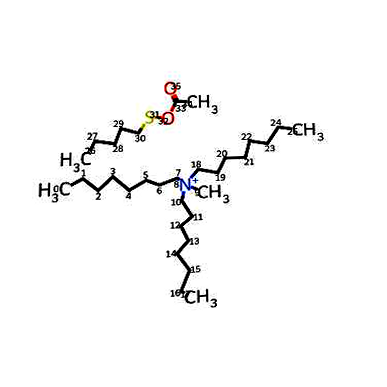 CCCCCCCC[N+](C)(CCCCCCCC)CCCCCCCC.CCCCCSOC(C)=O